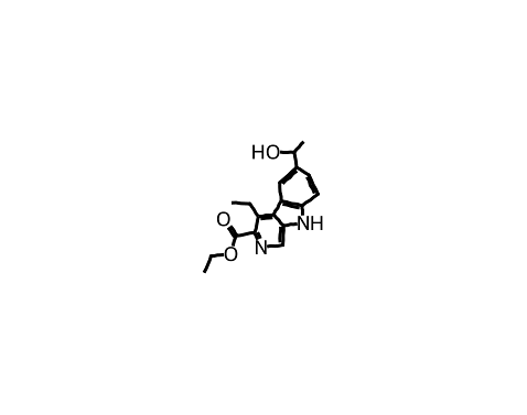 CCOC(=O)c1ncc2[nH]c3ccc(C(C)O)cc3c2c1CC